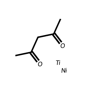 CC(=O)CC(C)=O.[Ni].[Ti]